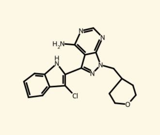 Nc1ncnc2c1c(-c1[nH]c3ccccc3c1Cl)nn2CC1CCOCC1